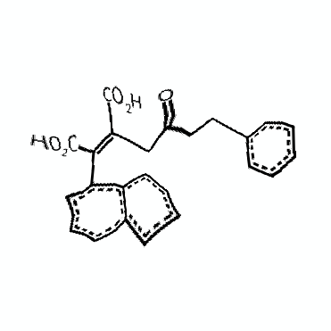 O=C(CCc1ccccc1)CC(C(=O)O)=C(C(=O)O)c1cccc2ccccc12